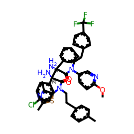 COc1ccc(N(CCc2ccc(C(F)(F)F)cc2)C(=O)[C@](N)(c2ccccc2)[C@](N)(C(=O)N(CCc2ccc(C)cc2)c2sc(C)nc2C)c2ccc(Cl)cc2)cn1